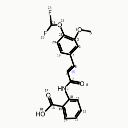 COc1cc(/C=C/C(=O)Nc2ccccc2C(=O)O)ccc1OC(F)F